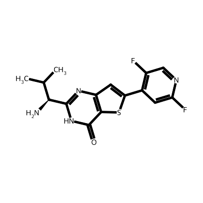 CC(C)[C@H](N)c1nc2cc(-c3cc(F)ncc3F)sc2c(=O)[nH]1